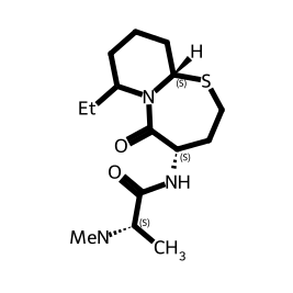 CCC1CCC[C@@H]2SCC[C@H](NC(=O)[C@H](C)NC)C(=O)N12